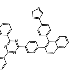 C1=NCC=C1c1ccc(-c2c(-c3ccc(-c4nc(-c5ccccc5)nc(-c5ccccc5)n4)cc3)ccc3ccccc23)cc1